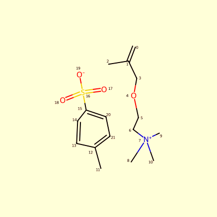 C=C(C)COCC[N+](C)(C)C.Cc1ccc(S(=O)(=O)[O-])cc1